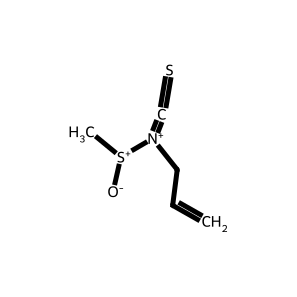 C=CC[N+](=C=S)[S+](C)[O-]